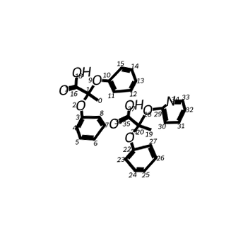 CC(Oc1ccccc1)(Oc1ccccc1)C(=O)O.CC(Oc1ccccc1)(Oc1ccccn1)C(=O)O